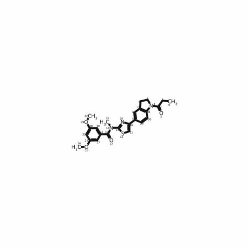 CCC(=O)N1CCc2cc(-c3csc(N(C)C(=O)c4cc(OC)cc(OC)c4)n3)ccc21